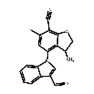 CC1COc2c(C#N)c(F)cc(-n3cc(C=O)c4ccccc43)c21